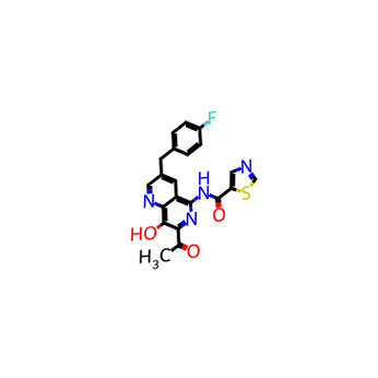 CC(=O)c1nc(NC(=O)c2cncs2)c2cc(Cc3ccc(F)cc3)cnc2c1O